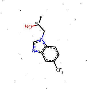 C[C@H](O)Cn1cnc2cc(C(F)(F)F)ccc21